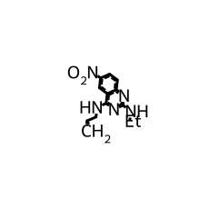 C=CCNc1nc(NCC)nc2ccc([N+](=O)[O-])cc12